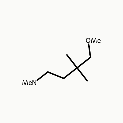 CNCCC(C)(C)COC